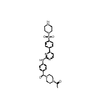 CC(=O)N1CCN(C(=O)c2ccc(Nc3nccc(-c4ccc(S(=O)(=O)N5CCNCC5)cc4)n3)cc2)CC1